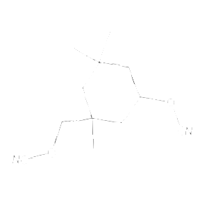 CC1(C)CC(OC#N)CC(C)(COC#N)C1